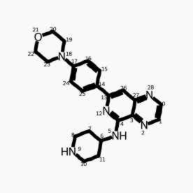 c1cnc2c(NC3CCNCC3)nc(-c3ccc(N4CCOCC4)cc3)cc2n1